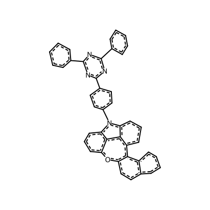 c1ccc(-c2nc(-c3ccccc3)nc(-c3ccc(-n4c5cccc6oc7ccc8ccccc8c7c7cccc4c7c65)cc3)n2)cc1